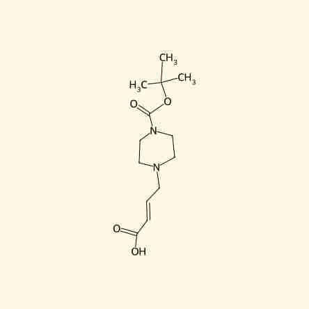 CC(C)(C)OC(=O)N1CCN(C/C=C/C(=O)O)CC1